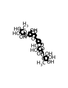 CC1O[C@@H](OCC2O[C@@H](Oc3ccc(-c4cc(=O)c5c(O)cc(O[C@@H]6OC(C)[C@H](O)[C@H](O)C6O)cc5o4)cc3)C(O)C(O)[C@@H]2O)C(O)[C@@H](O)[C@H]1O